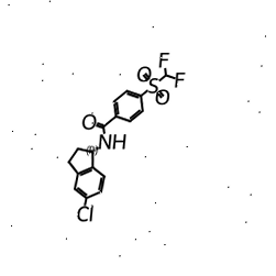 O=C(N[C@@H]1CCc2cc(Cl)ccc21)c1ccc(S(=O)(=O)C(F)F)cc1